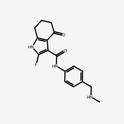 CNCc1ccc(NC(=O)c2c(F)[nH]c3c2C(=O)CCC3)cc1